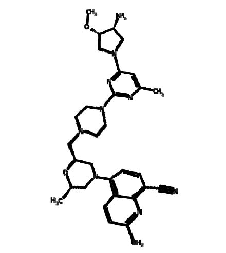 Bc1ccc2c(N3C[C@H](CN4CCN(c5nc(C)cc(N6C[C@H](OC)[C@@H](N)C6)n5)CC4)O[C@H](C)C3)ccc(C#N)c2n1